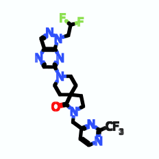 O=C1N(Cc2ccnc(C(F)(F)F)n2)CCC12CCN(c1cnc3cnn(CC(F)F)c3n1)CC2